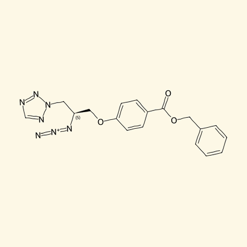 [N-]=[N+]=N[C@H](COc1ccc(C(=O)OCc2ccccc2)cc1)Cn1ncnn1